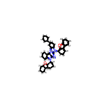 c1ccc(-c2ccc3c(c2)n2c4c5ccccc5n(-c5cccc6c5oc5ccccc56)c4nc2n3-c2cccc3c2oc2ccccc23)cc1